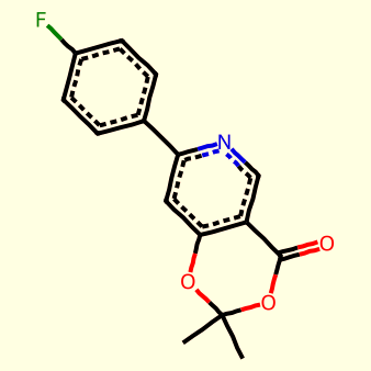 CC1(C)OC(=O)c2cnc(-c3ccc(F)cc3)cc2O1